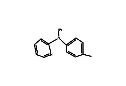 Cc1ccc(N(c2ccccn2)C(C)C)cc1